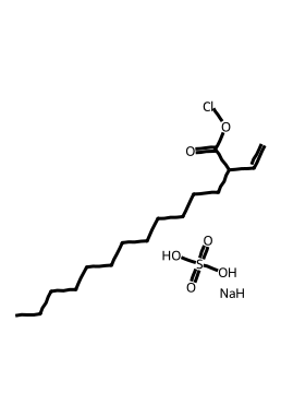 C=CC(CCCCCCCCCCCC)C(=O)OCl.O=S(=O)(O)O.[NaH]